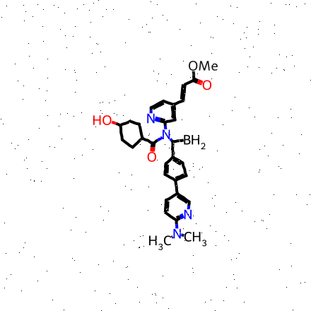 BC(c1ccc(-c2ccc(N(C)C)nc2)cc1)N(C(=O)C1CCC(O)CC1)c1cc(/C=C/C(=O)OC)ccn1